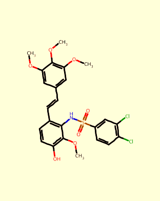 COc1cc(C=Cc2ccc(O)c(OC)c2NS(=O)(=O)c2ccc(Cl)c(Cl)c2)cc(OC)c1OC